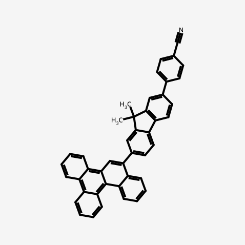 CC1(C)c2cc(-c3ccc(C#N)cc3)ccc2-c2ccc(-c3cc4c5ccccc5c5ccccc5c4c4ccccc34)cc21